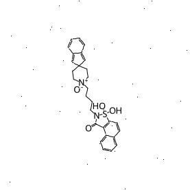 O=C1c2c(ccc3ccccc23)S(O)(O)N1CCCC[N+]1([O-])CCC2(C=c3ccccc3=C2)CC1